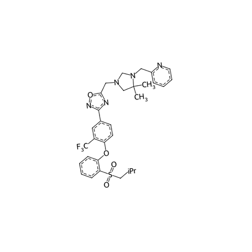 CC(C)CS(=O)(=O)c1ccccc1Oc1ccc(-c2noc(CN3CN(Cc4ccccn4)C(C)(C)C3)n2)cc1C(F)(F)F